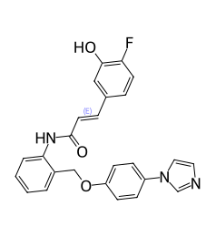 O=C(/C=C/c1ccc(F)c(O)c1)Nc1ccccc1COc1ccc(-n2ccnc2)cc1